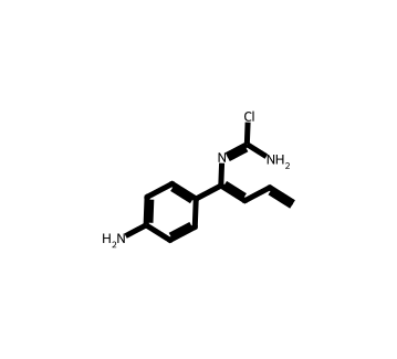 C=C/C=C(\N=C(/N)Cl)c1ccc(N)cc1